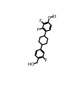 CCOc1ccc(C2CCC(c3ccc(CO)c(F)c3)CC2)c(F)c1F